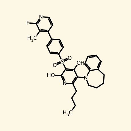 CCCCc1nc(O)c(S(=O)(=O)c2ccc(-c3ccnc(F)c3C)cc2)c(O)c1N1CCCCc2ccccc21